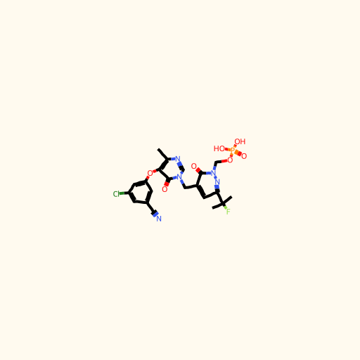 Cc1ncn(Cc2cc(C(C)(C)F)nn(COP(=O)(O)O)c2=O)c(=O)c1Oc1cc(Cl)cc(C#N)c1